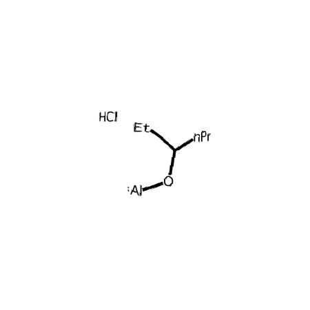 CCCC(CC)[O][Al].Cl